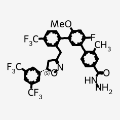 COc1cc(F)c(-c2ccc(C(=O)NN)cc2C)cc1-c1ccc(C(F)(F)F)cc1CC1=NO[C@H](c2cc(C(F)(F)F)cc(C(F)(F)F)c2)C1